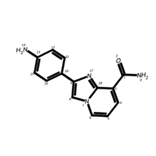 NC(=O)c1cccn2cc(-c3ccc(N)cc3)nc12